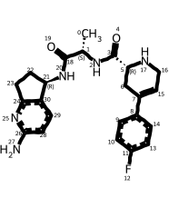 C[C@H](NC(=O)[C@H]1CC(c2ccc(F)cc2)=CCN1)C(=O)N[C@@H]1CCc2nc(N)ccc21